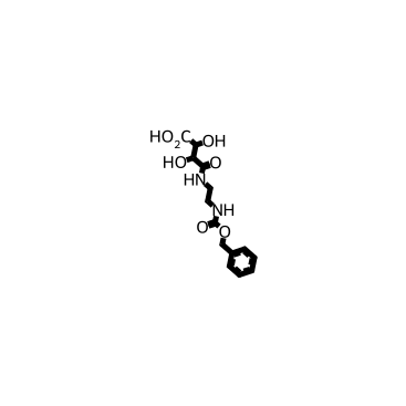 O=C(NCCNC(=O)C(O)C(O)C(=O)O)OCc1ccccc1